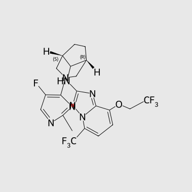 Cc1ncc(F)c(N2C[C@H]3CC[C@@H](C2)C3Nc2nc3c(OCC(F)(F)F)ccc(C(F)(F)F)n3n2)n1